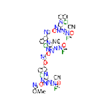 C=C(F)C(=O)N1CCN(c2nc(OC[C@@H]3CC(c4cc(N5CCc6c(nc(OC[C@H]7C[C@@H](OCc8ccc(N9CCc%10c(nc(OC[C@@H]%11C[C@@H](OC)CN%11C)nc%10N%10CCN(C(=O)C(=C)F)[C@@H](CC#N)C%10)C9)c9c(Cl)cccc89)CN7C)nc6N6CCN(C(=O)C(=C)F)[C@@H](CC#N)C6)C5)c5c(Cl)cccc5c4)N(C)C3)nc3c2CCN(c2cccc4cccc(Cl)c24)C3)C[C@@H]1CC#N